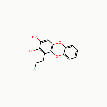 Oc1cc2c(c(CCCl)c1O)Oc1ccccc1O2